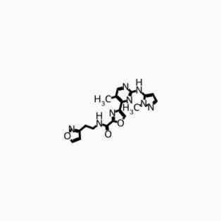 Cc1cnc(Nc2ccnn2C)nc1-c1coc(C(=O)NCCc2ccon2)n1